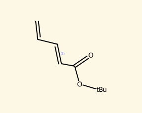 C=C/C=C/C(=O)OC(C)(C)C